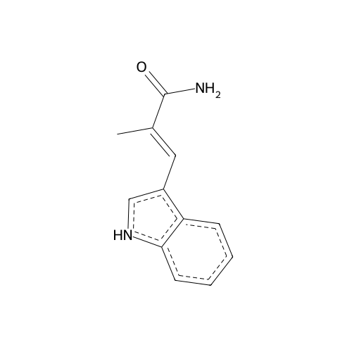 C/C(=C\c1c[nH]c2ccccc12)C(N)=O